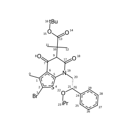 Cc1c(Br)sc2c1C(=O)C(C(C)(C)C(=O)OC(C)(C)C)C(=O)N2C[C@@H](OC(C)C)c1ccccc1